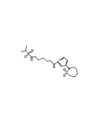 CC(C)S(=O)(=O)NCCCCCNc1cccc(N2CCCCCS2(=O)=O)c1